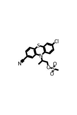 CC(COS(C)(=O)=O)N1c2ccc(Cl)cc2Sc2ccc(C#N)cc21